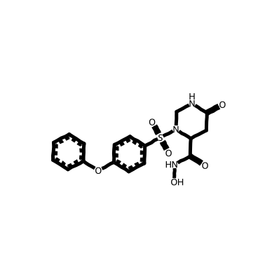 O=C1CC(C(=O)NO)N(S(=O)(=O)c2ccc(Oc3ccccc3)cc2)CN1